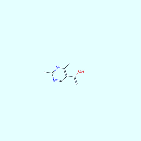 C=C(O)c1cnc(C)nc1C